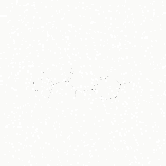 Cc1ccc(NC(=O)c2cscn2)cc1